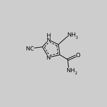 N#Cc1nc(C(N)=O)c(N)[nH]1